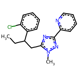 CCC(Cc1nc(-c2ccccn2)nn1C)c1ccccc1Cl